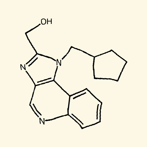 OCc1nc2cnc3ccccc3c2n1CC1CCCC1